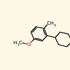 COc1ccc(C)c(C2CCCCC2)c1